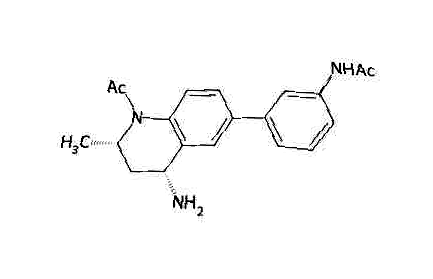 CC(=O)Nc1cccc(-c2ccc3c(c2)[C@H](N)C[C@H](C)N3C(C)=O)c1